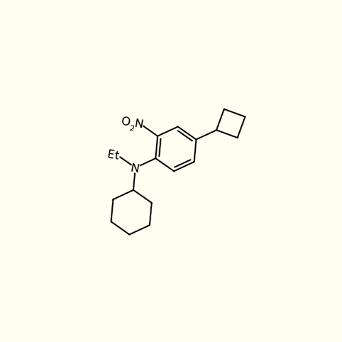 CCN(c1ccc(C2CCC2)cc1[N+](=O)[O-])C1CCCCC1